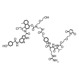 Cc1cccc2c(OC(=O)N(CCOCCO)CCN(C)C(=O)OCc3ccc(NC(=O)[C@H](CCCNC(N)=O)NC(=O)[C@@H](NC(=O)OCCOCCN4C(=O)C=CC4=O)C(C)C)cc3)cc3c(c12)[C@H](CCl)CN3C(=O)c1cc2cc(NC(=O)c3ccc(O)cc3)cnc2[nH]1